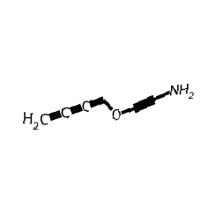 C=C=C=COC#CN